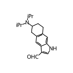 CC(C)N(C(C)C)C1CCc2cc3[nH]cc(C=O)c3cc2C1